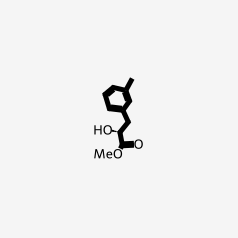 COC(=O)[C@H](O)Cc1cccc(C)c1